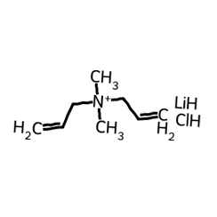 C=CC[N+](C)(C)CC=C.Cl.[LiH]